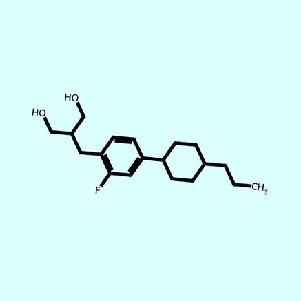 CCCC1CCC(c2ccc(CC(CO)CO)c(F)c2)CC1